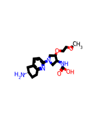 COCCOC1CN(c2ccc3c(n2)CC[C@H](N)C3)CC1NC(=O)O